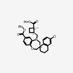 COC(=O)[C@]1(C)CC[C@@H]1CN1C[C@@]2(CCCc3cc(Cl)ccc32)COc2ccc(C(=O)OC(C)(C)C)cc21